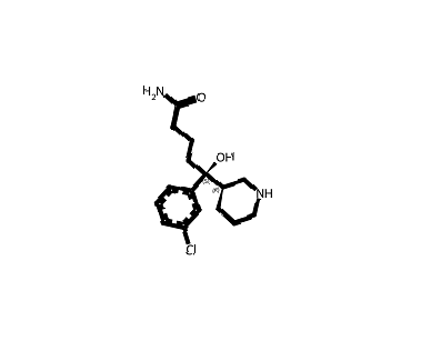 NC(=O)CCC[C@@](O)(c1cccc(Cl)c1)[C@@H]1CCCNC1